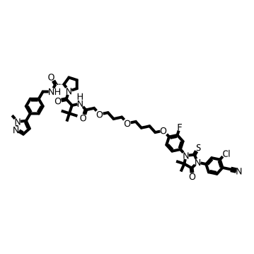 Cn1nccc1-c1ccc(CNC(=O)[C@@H]2CCCN2C(=O)C(NC(=O)COCCCOCCCCOc2ccc(N3C(=S)N(c4ccc(C#N)c(Cl)c4)C(=O)C3(C)C)cc2F)C(C)(C)C)cc1